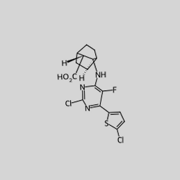 O=C(O)[C@@H]1C2CCC(CC2)[C@H]1Nc1nc(Cl)nc(-c2ccc(Cl)s2)c1F